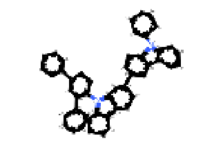 c1ccc(-c2ccc(-n3c4ccccc4c4ccc(-c5ccc6c(c5)c5ccccc5n6-c5ccccc5)cc43)c(-c3ccccc3)c2)cc1